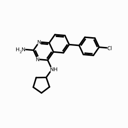 Nc1nc(NC2CCCC2)c2cc(-c3ccc(Cl)cc3)ccc2n1